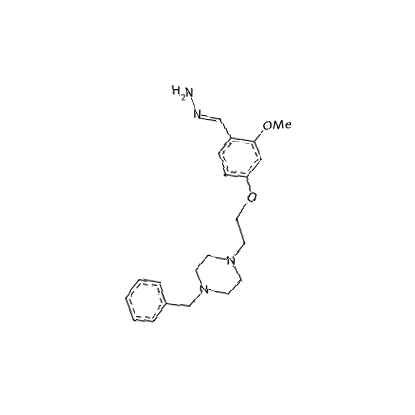 COc1cc(OCCN2CCN(Cc3ccccc3)CC2)ccc1C=NN